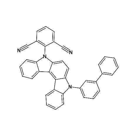 N#Cc1cccc(C#N)c1-n1c2ccccc2c2c3c4ccccc4n(-c4cccc(-c5ccccc5)c4)c3ccc21